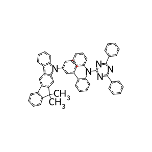 CC1(C)c2ccccc2-c2cc3c4ccccc4n(-c4cccc(-c5ccccc5N(c5ccccc5)c5nc(-c6ccccc6)nc(-c6ccccc6)n5)c4)c3cc21